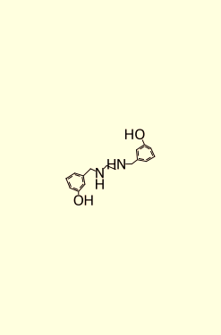 Oc1cccc(CNCCNCc2cccc(O)c2)c1